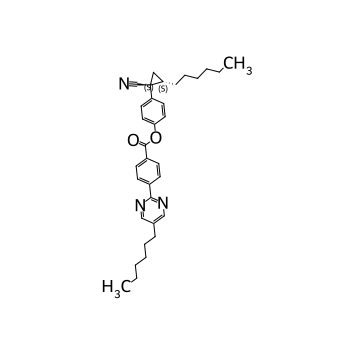 CCCCCCc1cnc(-c2ccc(C(=O)Oc3ccc([C@]4(C#N)C[C@@H]4CCCCCC)cc3)cc2)nc1